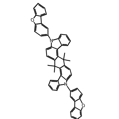 CC1(C)c2ccc3c(c2C(C)(C)c2ccc4c(c21)c1ccccc1n4-c1ccc2oc4ccccc4c2c1)c1ccccc1n3-c1ccc2oc3ccccc3c2c1